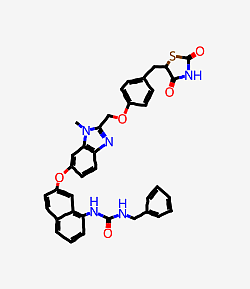 Cn1c(COc2ccc(CC3SC(=O)NC3=O)cc2)nc2ccc(Oc3ccc4cccc(NC(=O)NCc5ccccc5)c4c3)cc21